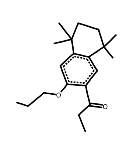 CCCOc1cc2c(cc1C(=O)CC)C(C)(C)CCC2(C)C